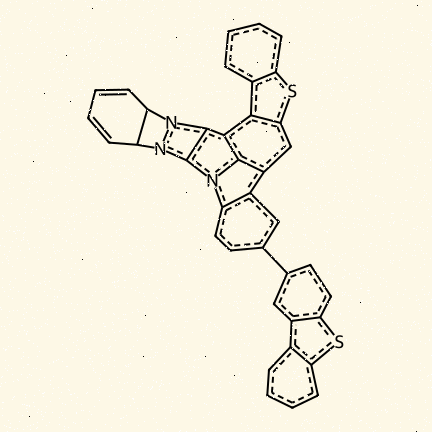 C1=CC2C(C=C1)n1c3c(c4c5c(cc6c7cc(-c8ccc9sc%10ccccc%10c9c8)ccc7n3c64)sc3ccccc35)n12